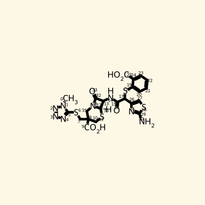 Cn1nnnc1SCC1(C(=O)O)CS[C@@H]2C(NC(=O)C(Sc3ccccc3C(=O)O)c3csc(N)n3)C(=O)N2C1